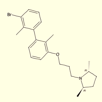 Cc1c(Br)cccc1-c1cccc(OCCCN2[C@H](C)CC[C@H]2C)c1C